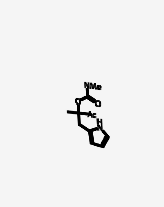 CNC(=O)OC(C)(Cc1ccc[nH]1)C(C)=O